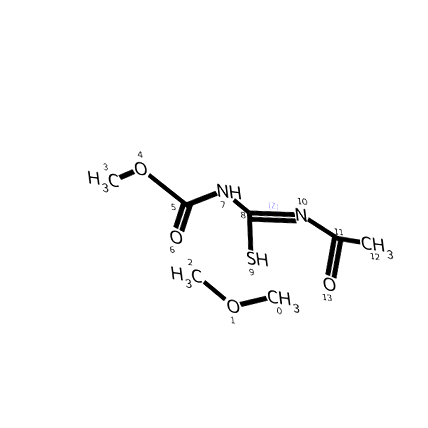 COC.COC(=O)N/C(S)=N/C(C)=O